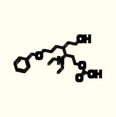 CCN(CC)C(CCOC(=O)O)C(CCO)CCCOCc1ccccc1